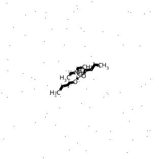 CCCCO[SiH2]OCCCC.CCNCC